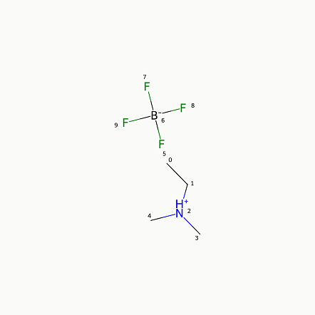 CC[NH+](C)C.F[B-](F)(F)F